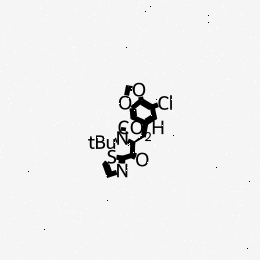 CC(C)(C)N(C(=O)O)[C@@H](Cc1cc(Cl)c2c(c1)OCO2)C(=O)c1nccs1